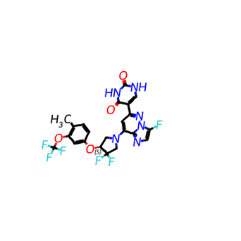 Cc1ccc(O[C@H]2CN(c3cc(-c4c[nH]c(=O)[nH]c4=O)nn4c(F)cnc34)CC2(F)F)cc1OC(F)(F)F